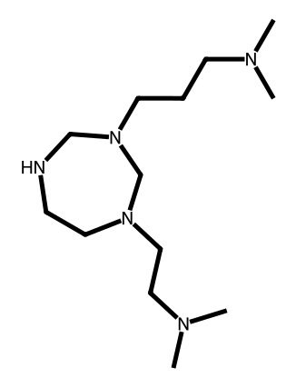 CN(C)CCCN1CNCCN(CCN(C)C)C1